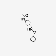 CC(=O)N[C@H]1CC[C@H](CNC2CC2c2ccccc2)CC1